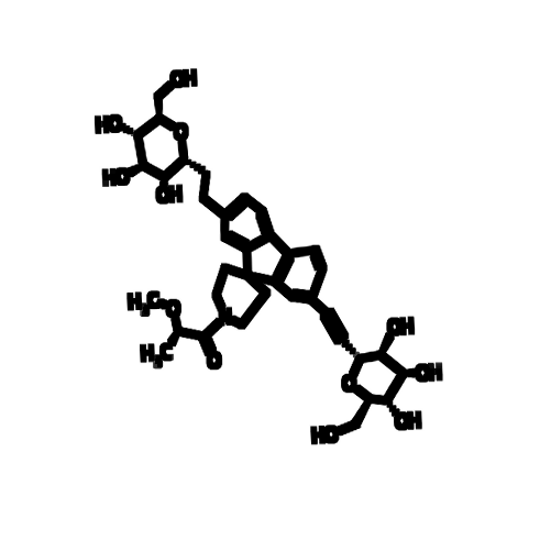 CO[C@H](C)C(=O)N1CCC2(CC1)c1cc(C#C[C@H]3O[C@H](CO)[C@@H](O)[C@H](O)[C@@H]3O)ccc1-c1ccc(CC[C@H]3O[C@H](CO)[C@@H](O)[C@H](O)[C@@H]3O)cc12